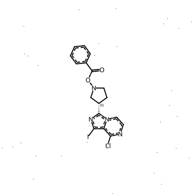 O=C(ON1CC[C@H](c2nc(I)c3c(Cl)nccn23)C1)c1ccccc1